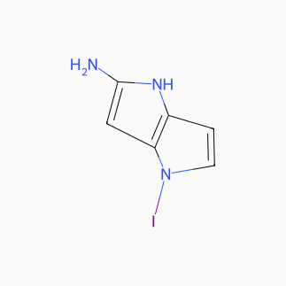 Nc1cc2c(ccn2I)[nH]1